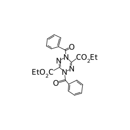 CCOC(=O)C1=NN(C(=O)c2ccccc2)C(C(=O)OCC)=NN1C(=O)c1ccccc1